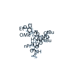 CCC[C@H](NC(=O)[C@@H]1C[C@]2(CC(c3cc(Cl)c(OCC)cc3OC)=NO2)CN1C(=O)[C@@H](NC(=O)OC(C)(C)C)C(C)(C)C)C(=O)C(=O)NC1CC1